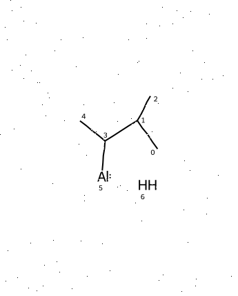 CC(C)[CH](C)[Al].[HH]